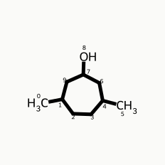 CC1CCC(C)CC(O)C1